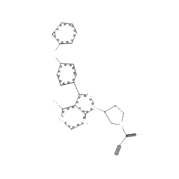 C#CC(=O)N1CCC(n2nc(-c3ccc(Oc4ccccc4)cc3)c3c(N)ncnc32)C1